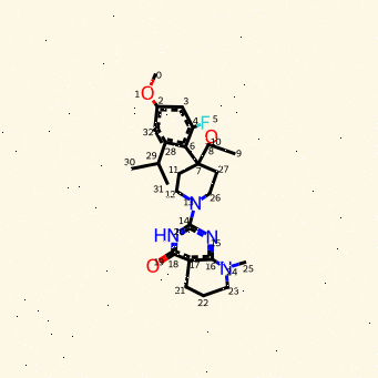 COc1cc(F)c(C2(C(C)=O)CCN(c3nc4c(c(=O)[nH]3)CCCN4C)CC2)c(C(C)C)c1